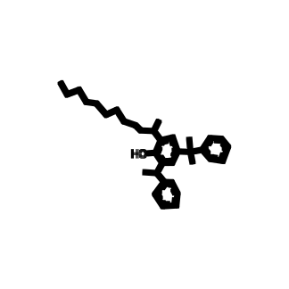 CCCCCCCCCCC(C)c1cc(C(C)(C)c2ccccc2)cc(C(C)c2ccccc2)c1O